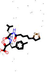 Cc1ccc(C[C@H](NC(=O)[C@H](CC(C)C)NC(=O)CCCCC2CCSS2)C(=O)C(=O)O)cc1